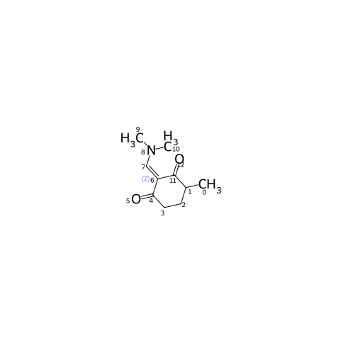 CC1CCC(=O)/C(=C/N(C)C)C1=O